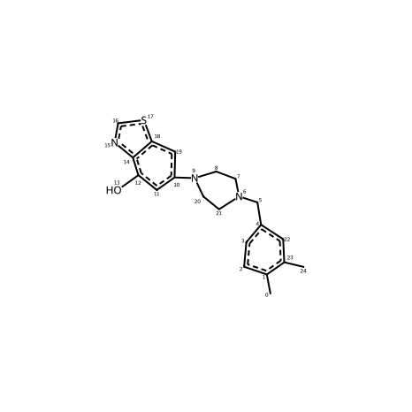 Cc1ccc(CN2CCN(c3cc(O)c4ncsc4c3)CC2)cc1C